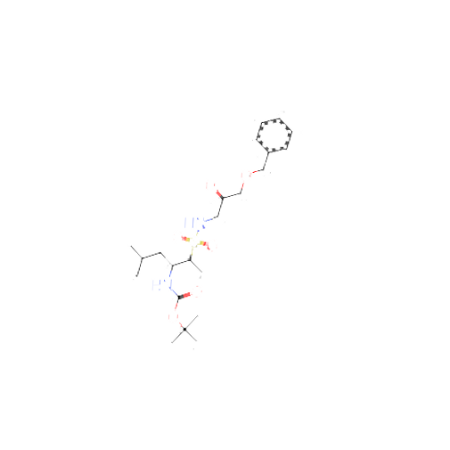 CC(C)CC(NC(=O)OC(C)(C)C)C(C)S(=O)(=O)NCC(=O)COCc1ccccc1